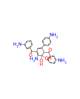 NC1=C(C(=O)c2cccc(N)c2)C=C(c2ccc(N)cc2)C(C(=O)c2cccc(N)c2)C1(O)O